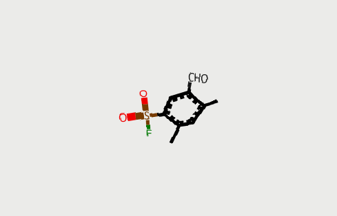 Cc1cc(C)c(S(=O)(=O)F)cc1C=O